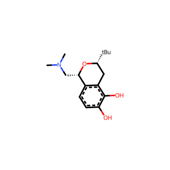 CN(C)C[C@@H]1O[C@H](C(C)(C)C)Cc2c1ccc(O)c2O